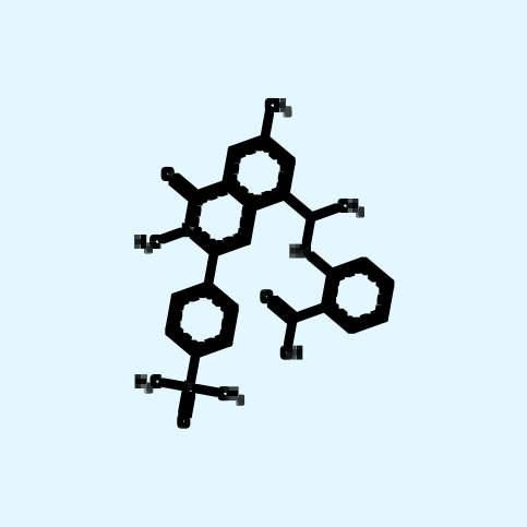 Cc1cc(C(C)Nc2ccccc2C(=O)O)c2cc(-c3ccc(P(C)(C)=O)cc3)n(C)c(=O)c2c1